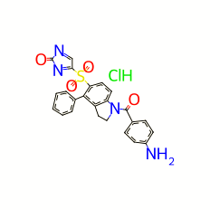 Cl.Nc1ccc(C(=O)N2CCc3c2ccc(S(=O)(=O)C2=NC(=O)N=C2)c3-c2ccccc2)cc1